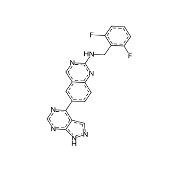 Fc1cccc(F)c1CNc1ncc2cc(-c3ncnc4[nH]ncc34)ccc2n1